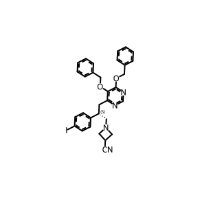 N#CC1CN(C[C@@H](Cc2ncnc(OCc3ccccc3)c2OCc2ccccc2)c2ccc(I)cc2)C1